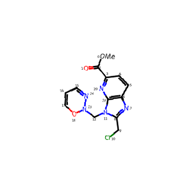 COC(=O)c1ccc2nc(CCl)n(CN3N=CC=CO3)c2n1